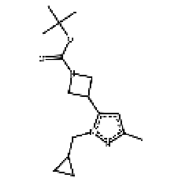 Cc1cc(C2CN(C(=O)OC(C)(C)C)C2)n(CC2CC2)n1